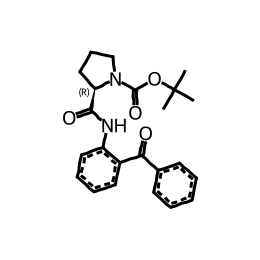 CC(C)(C)OC(=O)N1CCC[C@@H]1C(=O)Nc1ccccc1C(=O)c1ccccc1